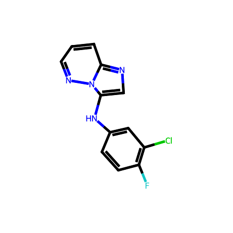 Fc1ccc(Nc2cnc3cccnn23)cc1Cl